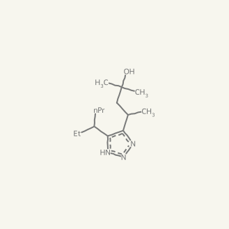 CCCC(CC)c1[nH]nnc1C(C)CC(C)(C)O